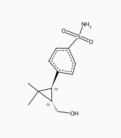 CC1(C)[C@@H](CO)[C@@H]1c1ccc(S(N)(=O)=O)cc1